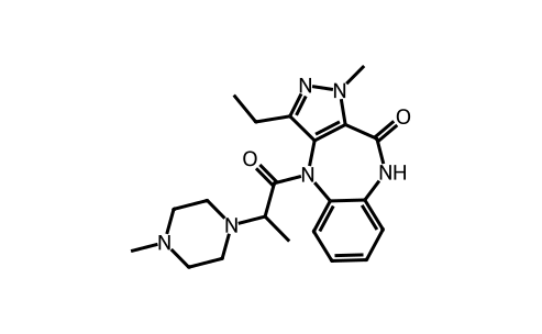 CCc1nn(C)c2c1N(C(=O)C(C)N1CCN(C)CC1)c1ccccc1NC2=O